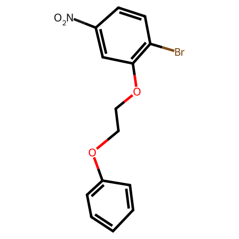 O=[N+]([O-])c1ccc(Br)c(OCCOc2ccccc2)c1